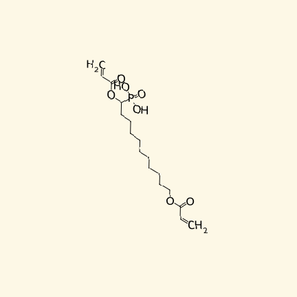 C=CC(=O)OCCCCCCCCCCC(OC(=O)C=C)P(=O)(O)O